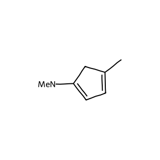 CNC1=CC=C(C)C1